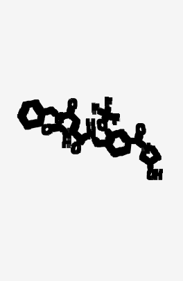 O=C(NCc1ccc(C(=O)N2CCC(O)C2)cc1OC(F)(F)F)c1cc(=O)n(Cc2ccccc2)c(=O)[nH]1